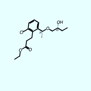 CCOC(=O)CCc1c(Cl)cccc1[C@@H](C)OC[C@H](O)CC